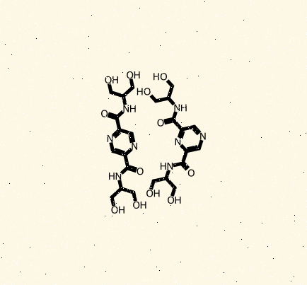 O=C(NC(CO)CO)c1cnc(C(=O)NC(CO)CO)cn1.O=C(NC(CO)CO)c1cncc(C(=O)NC(CO)CO)n1